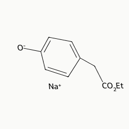 CCOC(=O)Cc1ccc([O-])cc1.[Na+]